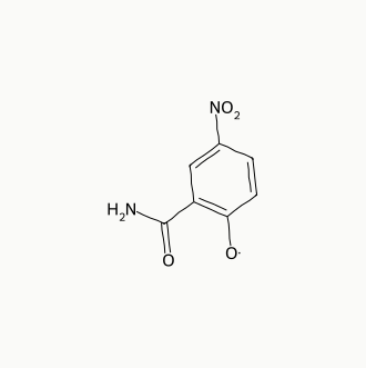 NC(=O)c1cc([N+](=O)[O-])ccc1[O]